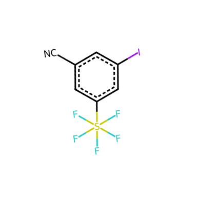 N#Cc1cc(I)cc(S(F)(F)(F)(F)F)c1